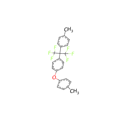 Cc1ccc(Oc2ccc(C(c3ccc(C)cc3)(C(F)(F)F)C(F)(F)F)cc2)cc1